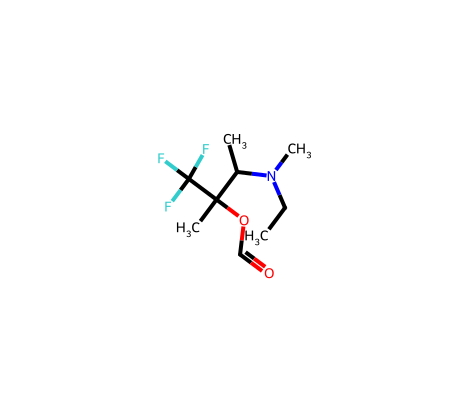 CCN(C)C(C)C(C)(OC=O)C(F)(F)F